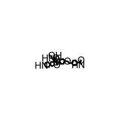 CNC(=O)c1ccc(COc2ccc(S(=O)(=O)C3(C(=O)NO)CCC4(CCNCC4)C3)cc2)cc1